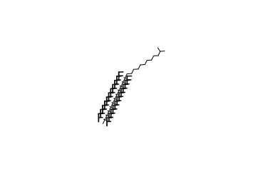 CC(C)CCCCCCCCCCC(F)(F)C(F)(F)C(F)(F)C(F)(F)C(F)(F)C(F)(F)C(F)(F)C(F)(F)C(F)(F)C(F)(F)C(C)(F)F